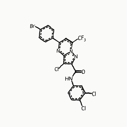 O=C(Nc1ccc(Cl)c(Cl)c1)c1nn2c(C(F)(F)F)cc(-c3ccc(Br)cc3)nc2c1Cl